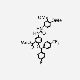 COC(=O)c1cc(NC(=O)Nc2ccc(OC)c(OC)c2)ccc1OC(c1ccc(F)cc1)c1ccc(C(F)(F)F)cc1